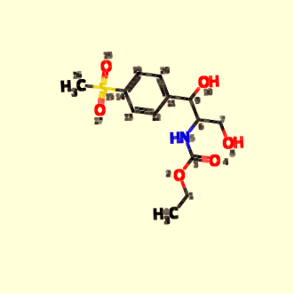 CCOC(=O)NC(CO)C(O)c1ccc(S(C)(=O)=O)cc1